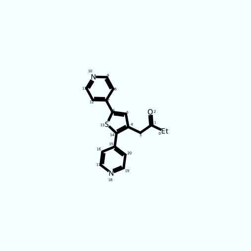 CCC(=O)Cc1cc(-c2ccncc2)sc1-c1ccncc1